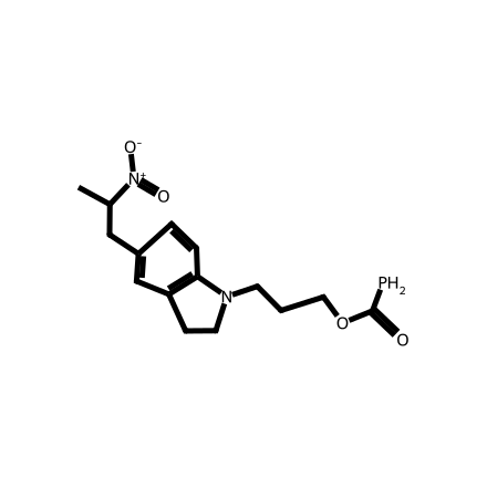 CC(Cc1ccc2c(c1)CCN2CCCOC(=O)P)[N+](=O)[O-]